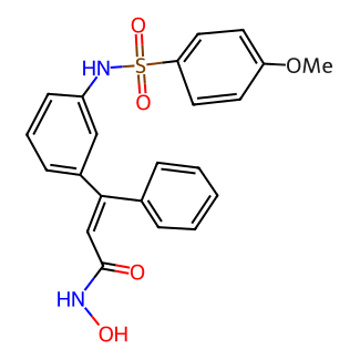 COc1ccc(S(=O)(=O)Nc2cccc(/C(=C/C(=O)NO)c3ccccc3)c2)cc1